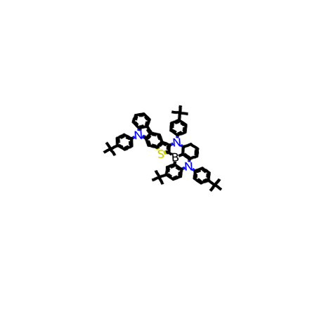 CC(C)(C)c1ccc(N2C3=C4B(c5cc(C(C)(C)C)ccc52)c2sc5cc6c(cc5c2N(c2ccc(C(C)(C)C)cc2)C4CC=C3)c2ccccc2n6-c2ccc(C(C)(C)C)cc2)cc1